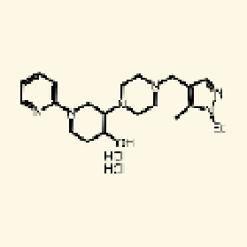 CCn1ncc(CN2CCN(C3CN(c4ccccn4)CCC3O)CC2)c1C.Cl.Cl